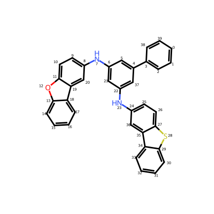 c1ccc(-c2cc(Nc3ccc4oc5ccccc5c4c3)cc(Nc3ccc4sc5ccccc5c4c3)c2)cc1